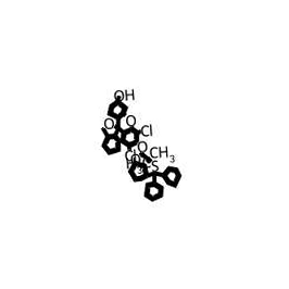 CC(C)(SC(c1ccccc1)(c1ccccc1)c1ccccc1)C(=O)Oc1c(Cl)cc2c(c1Cl)Oc1cc(O)ccc1C21OCc2ccccc21